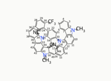 Cn1c2ccccc2c2c1ccc1c3ccccc3n(-c3ccc(-c4c(C#N)cccc4C(F)(F)F)c(-n4c5ccccc5c5ccc6c(c7ccccc7n6C)c54)c3C#N)c12